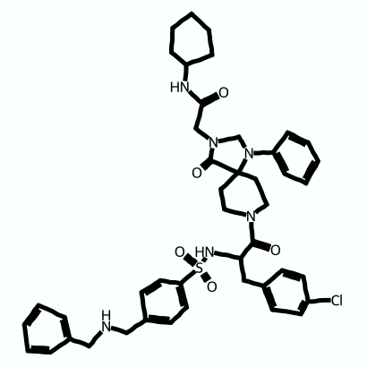 O=C(CN1CN(c2ccccc2)C2(CCN(C(=O)C(Cc3ccc(Cl)cc3)NS(=O)(=O)c3ccc(CNCc4ccccc4)cc3)CC2)C1=O)NC1CCCCC1